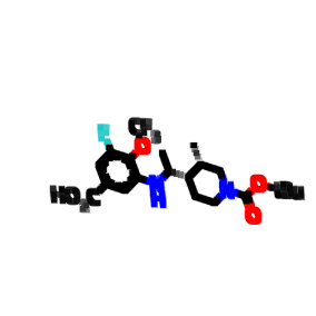 CC(Nc1cc(C(=O)O)cc(F)c1OC(F)(F)F)[C@H]1CCN(C(=O)OC(C)(C)C)C[C@H]1C